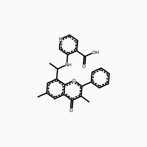 Cc1cc(C(C)Nc2cnccc2C(=O)O)c2oc(-c3ccccc3)c(C)c(=O)c2c1